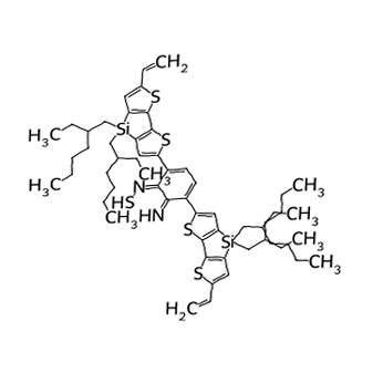 C=Cc1cc2c(s1)-c1sc(C3=CC=C(c4cc5c(s4)-c4sc(C=C)cc4[Si]5(CC(CC)CCCC)CC(CC)CCCC)/C(=N/S)C3=N)cc1[Si]2(CC(CC)CCCC)CC(CC)CCCC